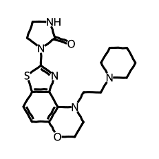 O=C1NCCN1c1nc2c3c(ccc2s1)OCCN3CCN1CCCCC1